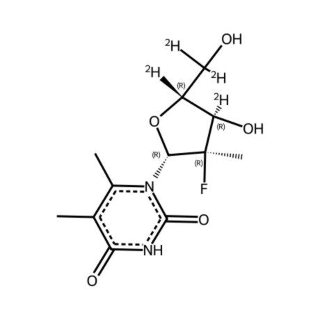 [2H]C([2H])(O)[C@@]1([2H])O[C@@H](n2c(C)c(C)c(=O)[nH]c2=O)[C@](C)(F)[C@]1([2H])O